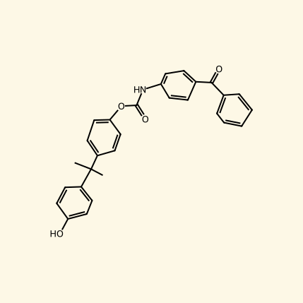 CC(C)(c1ccc(O)cc1)c1ccc(OC(=O)Nc2ccc(C(=O)c3ccccc3)cc2)cc1